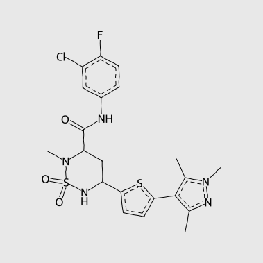 Cc1nn(C)c(C)c1-c1ccc(C2CC(C(=O)Nc3ccc(F)c(Cl)c3)N(C)S(=O)(=O)N2)s1